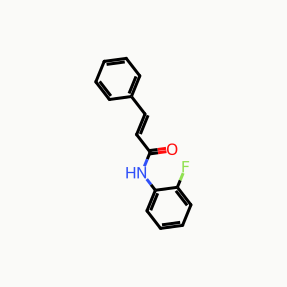 O=C(C=Cc1ccccc1)Nc1ccccc1F